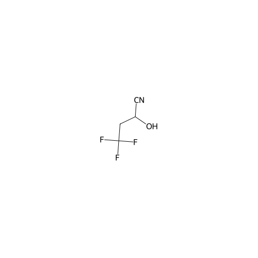 N#CC(O)CC(F)(F)F